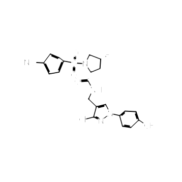 N#Cc1ccc(S(=O)(=O)N2C[C@H](F)C[C@@H]2C(=O)NCc2cn(-c3ccc(C(F)(F)F)cc3)nc2Cl)cc1